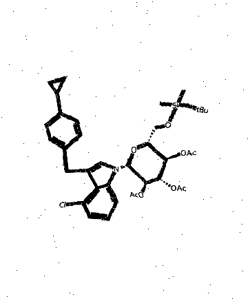 CC(=O)O[C@@H]1[C@@H](OC(C)=O)[C@H](n2cc(Cc3ccc(C4CC4)cc3)c3c(Cl)cccc32)O[C@H](CO[Si](C)(C)C(C)(C)C)[C@H]1OC(C)=O